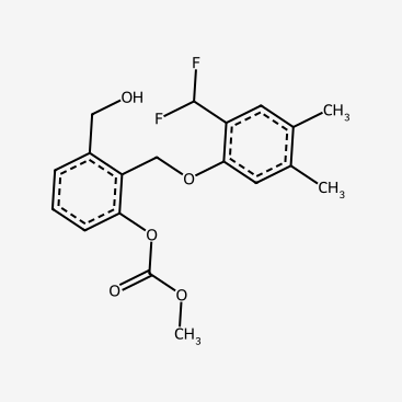 COC(=O)Oc1cccc(CO)c1COc1cc(C)c(C)cc1C(F)F